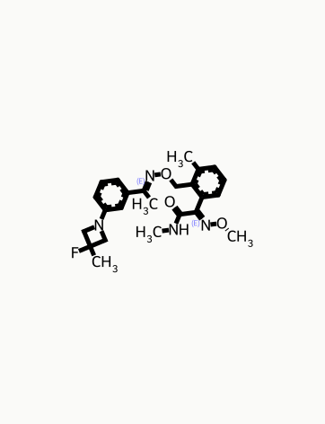 CNC(=O)/C(=N/OC)c1cccc(C)c1CO/N=C(\C)c1cccc(N2CC(C)(F)C2)c1